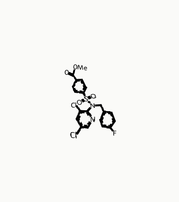 COC(=O)c1ccc(S(=O)(=O)N(Cc2ccc(F)cc2)c2ncc(Cl)cc2Cl)cc1